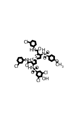 COc1ccc(S(=O)(=O)Nc2ccsc2C(=O)Nc2cccc(Cl)c2)cc1.O=C(Nc1cccc(Cl)c1)c1sccc1NS(=O)(=O)c1cc(Cl)c(O)c(Cl)c1